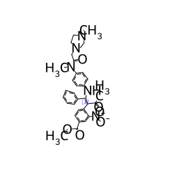 COC(=O)c1ccc(/C(C(C)=O)=C(/Nc2ccc(N(C)C(=O)CN3CCN(C)CC3)cc2)c2ccccc2)c([N+](=O)[O-])c1